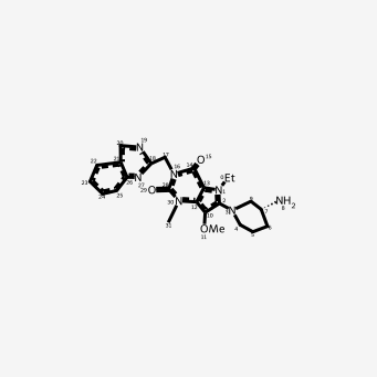 CCn1c(N2CCC[C@@H](N)C2)c(OC)c2c1c(=O)n(Cc1ncc3ccccc3n1)c(=O)n2C